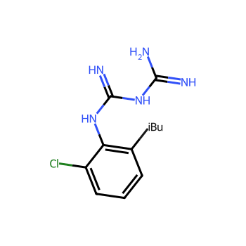 CCC(C)c1cccc(Cl)c1NC(=N)NC(=N)N